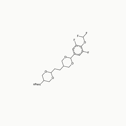 CCCCCC1COC(CCC2COC(c3cc(F)c(OC(F)F)c(F)c3)OC2)OC1